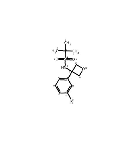 CC(C)(C)S(=O)(=O)NC1(c2cccc(Br)c2)COC1